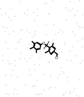 Cc1cc(OC(F)(F)c2c(C)cc(CCl)cc2C)cc(C)c1C